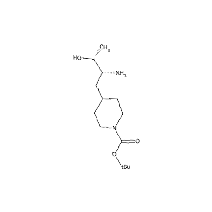 C[C@@H](O)[C@H](N)CC1CCN(C(=O)OC(C)(C)C)CC1